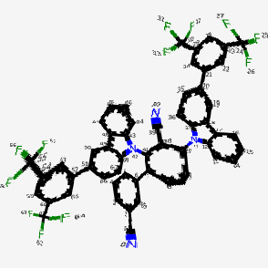 N#Cc1cccc(-c2ccc(-n3c4ccccc4c4cc(-c5cc(C(F)(F)F)cc(C(F)(F)F)c5)ccc43)c(C#N)c2-n2c3ccccc3c3cc(-c4cc(C(F)(F)F)cc(C(F)(F)F)c4)ccc32)c1